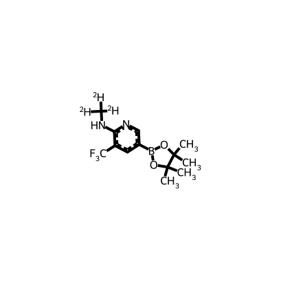 [2H]C([2H])([2H])Nc1ncc(B2OC(C)(C)C(C)(C)O2)cc1C(F)(F)F